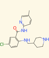 Cc1ccc(NC(=O)c2cc(Cl)ccc2NCC2CCNCC2)nc1